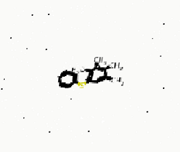 Cc1cc(Sc2ccccc2)c(C)c(C)c1C